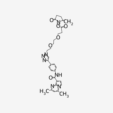 C=C1CCC(=O)N1OC(=O)CCOCCOCCn1cc(-c2ccc(NC(=O)c3ccn4c(C)cc(C)nc34)cc2)nn1